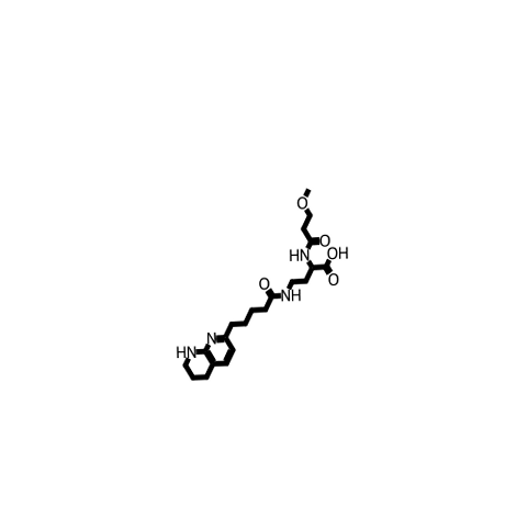 COCCC(=O)NC(CCNC(=O)CCCCc1ccc2c(n1)NCCC2)C(=O)O